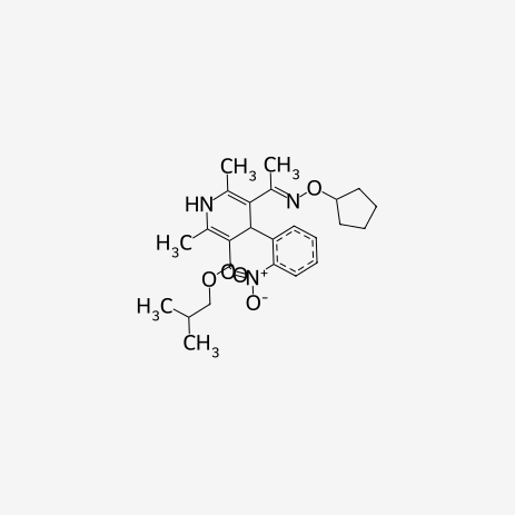 CC(=NOC1CCCC1)C1=C(C)NC(C)=C(C(=O)OCC(C)C)C1c1ccccc1[N+](=O)[O-]